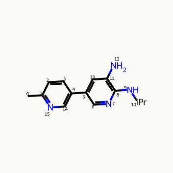 Cc1ccc(-c2cnc(NC(C)C)c(N)c2)cn1